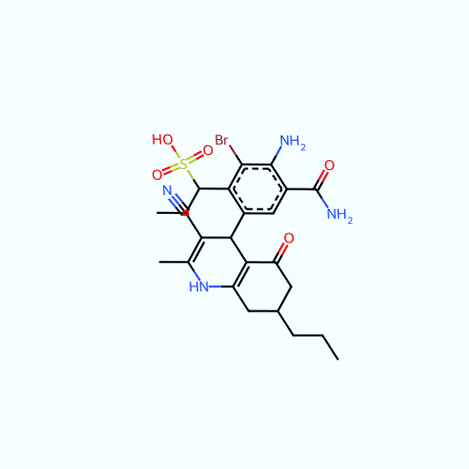 CCCC1CC(=O)C2=C(C1)NC(C)=C(C#N)C2c1cc(C(N)=O)c(N)c(Br)c1C(CC)S(=O)(=O)O